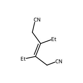 CCC(CC#N)=C(CC)CC#N